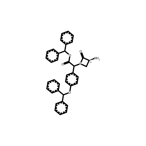 N[C@H]1CN(C(C(=O)OC(c2ccccc2)c2ccccc2)c2ccc(OC(c3ccccc3)c3ccccc3)cc2)C1=O